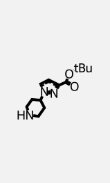 CC(C)(C)OC(=O)c1ccn(C2CCNCC2)n1